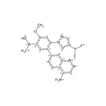 COc1cc(-c2ncc(C(F)F)o2)c(-c2ccc3c(N)cnnc3c2)cc1B(C)O